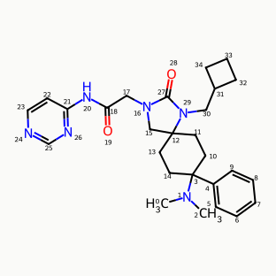 CN(C)C1(c2ccccc2)CCC2(CC1)CN(CC(=O)Nc1ccncn1)C(=O)N2CC1CCC1